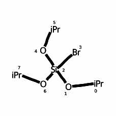 CC(C)O[Si](Br)(OC(C)C)OC(C)C